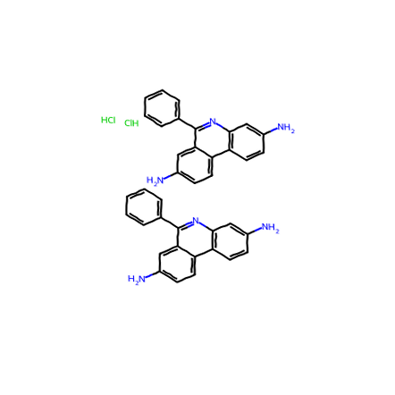 Cl.Cl.Nc1ccc2c(c1)nc(-c1ccccc1)c1cc(N)ccc12.Nc1ccc2c(c1)nc(-c1ccccc1)c1cc(N)ccc12